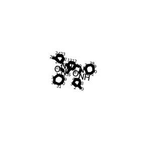 Cc1cccc(NC(=O)N(Cc2cccc(CN(C(=O)Nc3cccc(C)c3)C3CCCCCC3)c2)C2CCCCCC2)c1